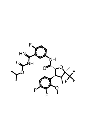 COc1c([C@H]2[C@H](C(=O)Nc3ccc(F)c(C(=N)NC(=O)OC(C)C)c3)O[C@@](C)(C(F)(F)F)[C@H]2C)ccc(F)c1F